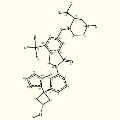 CO[C@H]1C[C@@](c2cccc(N3Cc4c(cc(CN5CCN(C)C[C@@H]5C(C)C)cc4C(F)(F)F)C3=O)c2)(c2nncn2C)C1